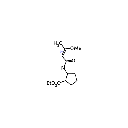 CCOC(=O)C1CCCC1NC(=O)/C=C(/C)OC